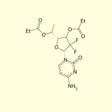 CCC(=O)OC(C)[C@H]1O[C@@H](n2ccc(N)nc2=O)C(F)(F)C1OC(=O)CC